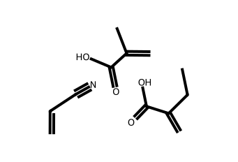 C=C(C)C(=O)O.C=C(CC)C(=O)O.C=CC#N